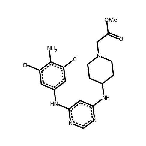 COC(=O)CN1CCC(Nc2cc(Nc3cc(Cl)c(N)c(Cl)c3)ncn2)CC1